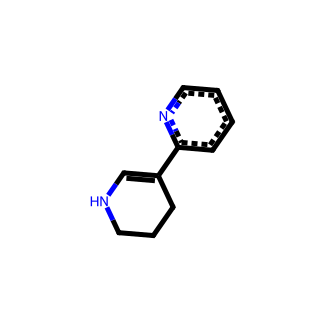 C1=C(c2ccccn2)CCCN1